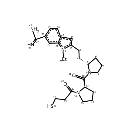 CCn1c(CC[C@@H]2CCCN2C(=O)[C@H]2CCCN2C(=O)CCS)cc2ccc(C(=N)N)cc21